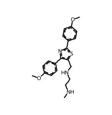 CNCCNCc1sc(-c2ccc(OC)cc2)nc1-c1ccc(OC)cc1